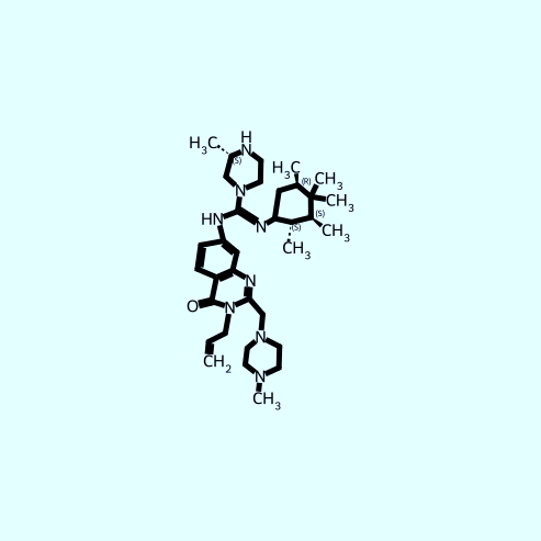 C=CCn1c(CN2CCN(C)CC2)nc2cc(NC(=NC3C[C@@H](C)C(C)(C)[C@@H](C)[C@@H]3C)N3CCN[C@@H](C)C3)ccc2c1=O